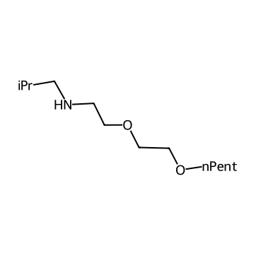 CCCCCOCCOCCNCC(C)C